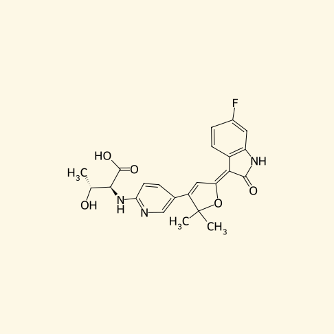 C[C@@H](O)[C@H](Nc1ccc(C2=CC(=C3C(=O)Nc4cc(F)ccc43)OC2(C)C)cn1)C(=O)O